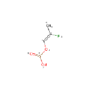 CC(F)=COS(=O)O